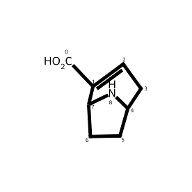 O=C(O)C1=CCC2CCC1N2